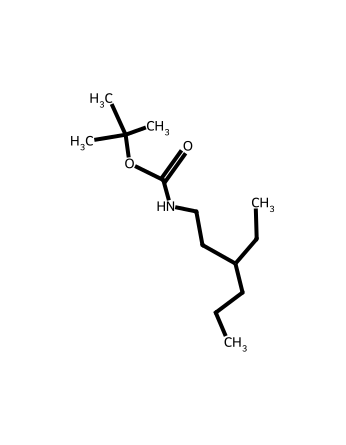 CCCC(CC)CCNC(=O)OC(C)(C)C